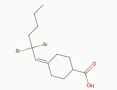 CCCCC(Br)(Br)C=C1CCC(C(=O)O)CC1